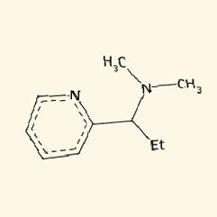 CCC(c1ccccn1)N(C)C